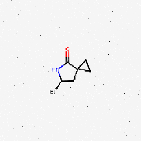 CC[C@@H]1CC2(CC2)C(=O)N1